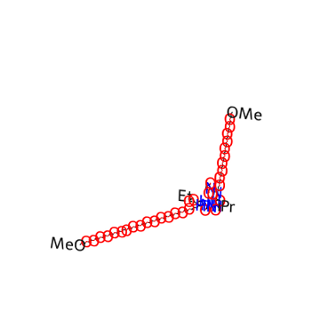 CCC(=O)OCc1ccc(NC(=O)[C@H](C)NC(=O)[C@@H](NC(=O)CCN(CCOCCOCCOCCOCCOCCOCCOCCOCCOCCOCCOC)C(=O)CN2C(=O)C=CC2=O)C(C)C)cc1CCCOCCOCCOCCOCCOCCOCCOCCOCCOCCOCOCCOCCOCCOCCOCCOCCOC